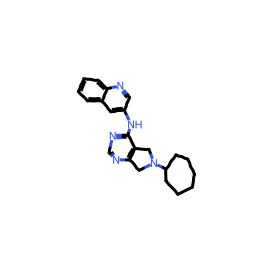 c1ccc2ncc(Nc3ncnc4c3CN(C3CCCCCC3)C4)cc2c1